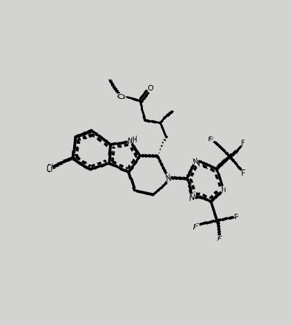 COC(=O)CC(C)C[C@H]1c2[nH]c3ccc(Cl)cc3c2CCN1c1nc(C(F)(F)F)nc(C(F)(F)F)n1